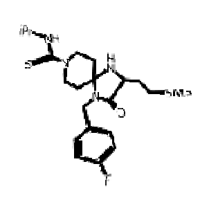 CSCCC1NC2(CCN(C(=S)NC(C)C)CC2)N(Cc2ccc(F)cc2)C1=O